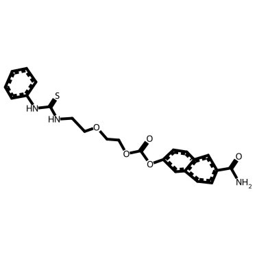 NC(=O)c1ccc2cc(OC(=O)OCCOCCNC(=S)Nc3ccccc3)ccc2c1